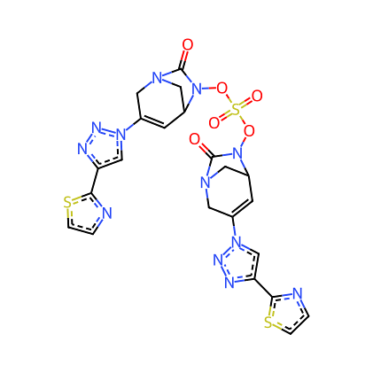 O=C1N2CC(n3cc(-c4nccs4)nn3)=CC(C2)N1OS(=O)(=O)ON1C(=O)N2CC(n3cc(-c4nccs4)nn3)=CC1C2